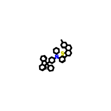 CC1CC=C2C(CCC3CCC4C5=C(SC4C23)C(N(C2CCCCC2)C2CCC(C3(C4CCCCC4)C4=C(CCC=C4)C4CCC=C[C@@H]43)CC2)CC=C5)C1